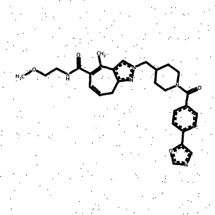 COCCNC(=O)C1=C(C)c2cn(CC3CCN(C(=O)c4ccc(-c5cnco5)cc4)CC3)nc2CC=C1